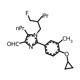 CCCc1c(C=O)nc(-c2ccc(OC3CC3)c(C)c2)n1CC(CF)C(C)C